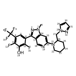 Cn1nc(-c2cc(C(F)(F)F)c(F)c(O)c2F)c2cnc(N3CCCCC3Cn3cccn3)cc21